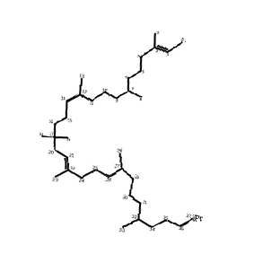 [CH2]C=C(C)CCCC(C)CCCC(C)CCCC(C)(C)CC=C(C)CCCC(C)CCCC(C)CCCC(C)C